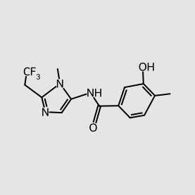 Cc1ccc(C(=O)Nc2cnc(CC(F)(F)F)n2C)cc1O